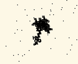 CCOC(=O)NCCCCCC[Si](O[Si](OCC)(OCC)OCC)(O[Si](OCC)(OCC)OCC)O[Si](OCC)(OCC)OCC